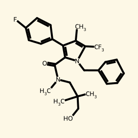 Cc1c(-c2ccc(F)cc2)c(C(=O)N(C)CC(C)(C)CO)n(Cc2ccccc2)c1C(F)(F)F